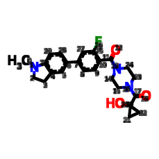 CN1CCc2cc(-c3ccc(C(=O)N4CCN(C(=O)C5(O)CC5)CC4)c(F)c3)ccc21